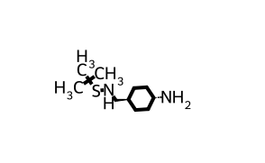 CC(C)(C)SNC[C@H]1CC[C@H](N)CC1